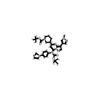 Cn1cc(-c2cnn3c(N(C(=O)OC(C)(C)C)c4ccc(-n5ccnc5)cc4)cc(C4CCCN(C(=O)OC(C)(C)C)C4)nc23)cn1